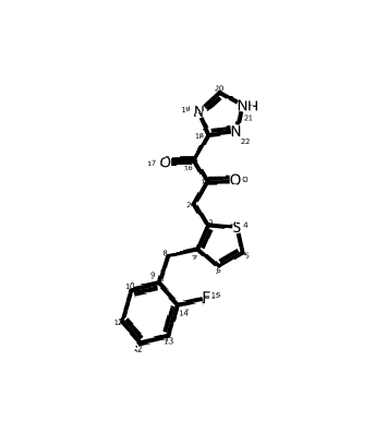 O=C(Cc1sccc1Cc1ccccc1F)C(=O)c1nc[nH]n1